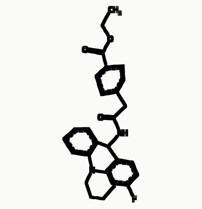 CCOC(=O)c1ccc(CC(=O)NC(c2ccc(F)cc2)c2ccccc2N2CCCCC2)cc1